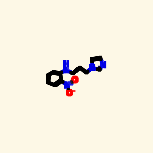 O=[N+]([O-])c1ccccc1NCCCn1ccnc1